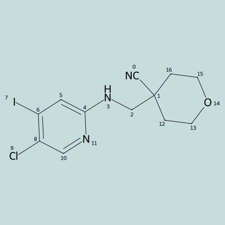 N#CC1(CNc2cc(I)c(Cl)cn2)CCOCC1